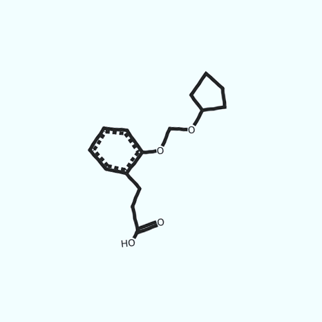 O=C(O)CCc1ccccc1OCOC1CCCC1